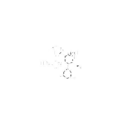 C[C@H](NC(=O)c1cnc(C#N)c(-c2cc(F)cc(F)c2)c1N1CCC(N)C1)C(F)(F)F.Cl.Cl